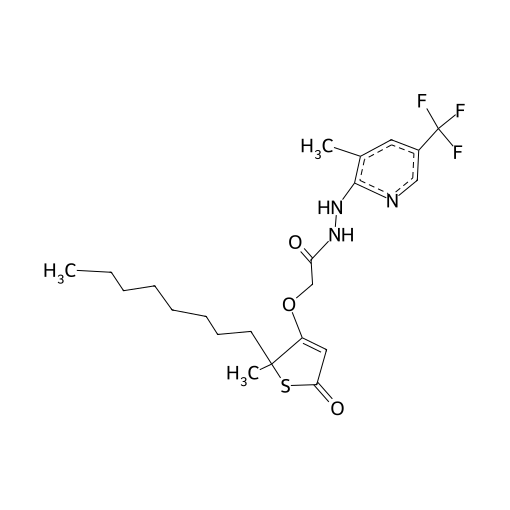 CCCCCCCCC1(C)SC(=O)C=C1OCC(=O)NNc1ncc(C(F)(F)F)cc1C